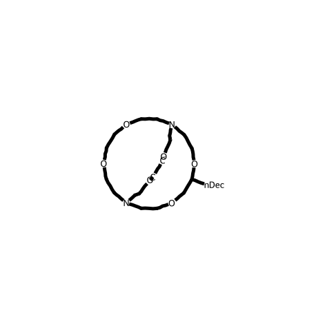 CCCCCCCCCCC1COCCN2CCOCCOCCN(CCOCCOCC2)CCO1